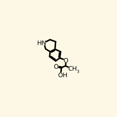 CC(Oc1ccc2c(c1)CCNC2)C(=O)O